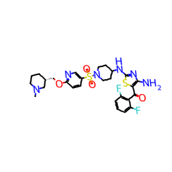 CN1CCC[C@H](COc2ccc(S(=O)(=O)N3CCC(Nc4nc(N)c(C(=O)c5c(F)cccc5F)s4)CC3)cn2)C1